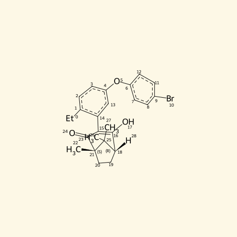 CCc1ccc(Oc2ccc(Br)cc2)cc1C1=C(O)[C@@H]2CC[C@](C)(C1=O)C2(C)C